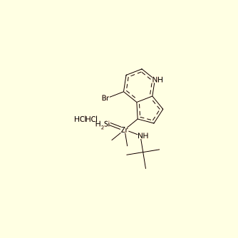 CC(C)(C)[NH][Zr]([CH3])([CH3])(=[SiH2])[c]1ccc2[nH]ccc(Br)c1-2.Cl.Cl